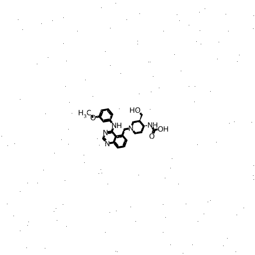 COc1cccc(Nc2ncnc3cccc(CN4CC[C@@H](NC(=O)O)[C@H](CO)C4)c23)c1